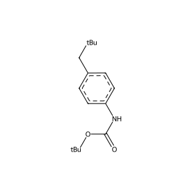 CC(C)(C)Cc1ccc(NC(=O)OC(C)(C)C)cc1